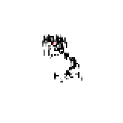 Cc1cc(C2CN([C@@H]3CCN(C(=O)C#CCN(C)C)C3)C2)cc2c1O[C@H](C)c1c(ncnc1N1CCS(=O)(=O)CC1)N2